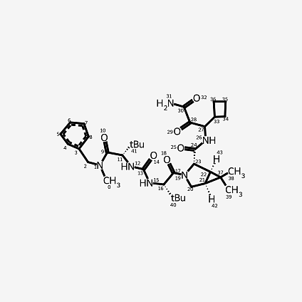 CN(Cc1ccccc1)C(=O)[C@@H](NC(=O)N[C@H](C(=O)N1C[C@H]2[C@@H]([C@H]1C(=O)NC(C(=O)C(N)=O)C1CCC1)C2(C)C)C(C)(C)C)C(C)(C)C